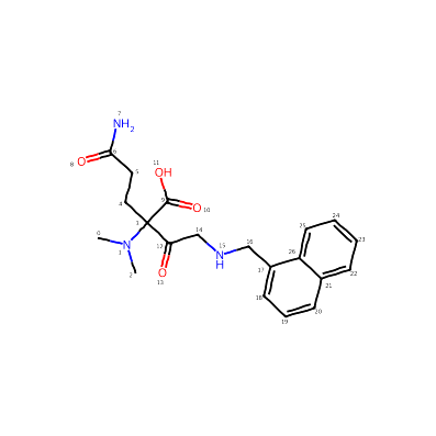 CN(C)C(CCC(N)=O)(C(=O)O)C(=O)CNCc1cccc2ccccc12